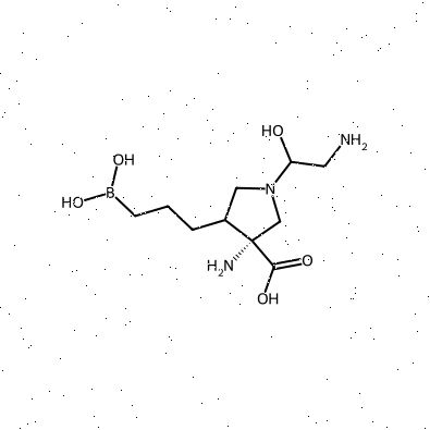 NCC(O)N1CC(CCCB(O)O)[C@](N)(C(=O)O)C1